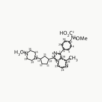 CON(C(=O)O)c1ccc(-c2nc(C3CCC(N4CCN(C)CC4)C3)n3ccnc(C)c23)cc1